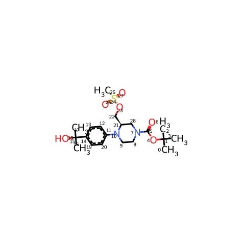 CC(C)(C)OC(=O)N1CCN(c2ccc(C(C)(C)O)cc2)[C@@H](COS(C)(=O)=O)C1